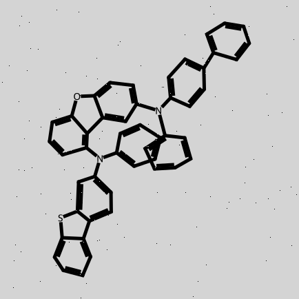 c1ccc(-c2ccc(N(c3ccccc3)c3ccc4oc5cccc(N(c6ccccc6)c6ccc7c(c6)sc6ccccc67)c5c4c3)cc2)cc1